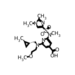 COCCN(C[C@@H]1C[C@H]1C)c1cc(C(=O)O)cc(N(C)S(=O)(=O)c2cn(C)c(C)n2)n1